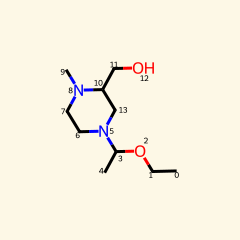 CCOC(C)N1CCN(C)C(CO)C1